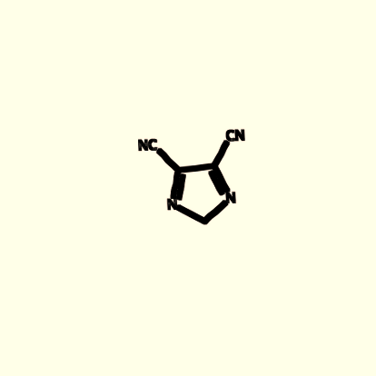 N#CC1=NCN=C1C#N